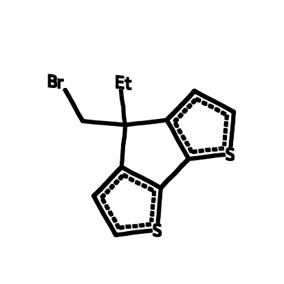 CCC1(CBr)c2ccsc2-c2sccc21